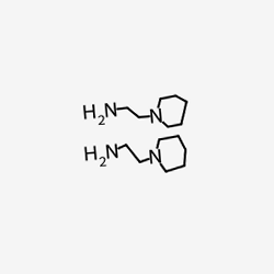 NCCN1CCCCC1.NCCN1CCCCC1